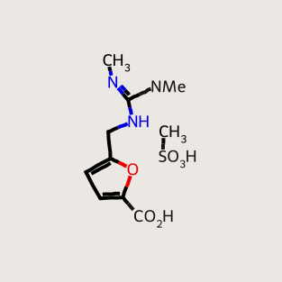 CN=C(NC)NCc1ccc(C(=O)O)o1.CS(=O)(=O)O